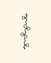 C=CC(=O)CCCOC(=O)CCC(=O)OCCCC(=O)C=C